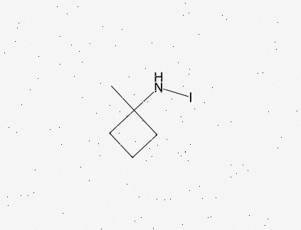 CC1(NI)CCC1